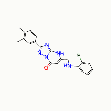 Cc1ccc(-c2nc3[nH]c(CNc4ccccc4F)cc(=O)n3n2)cc1C